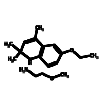 CCOc1ccc2c(c1)C(C)=CC(C)(C)N2.COCCN